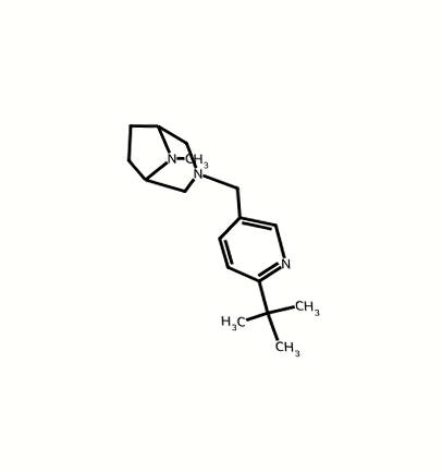 CN1C2CCC1CN(Cc1ccc(C(C)(C)C)nc1)C2